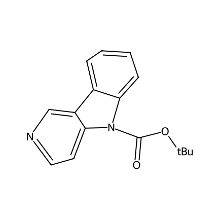 CC(C)(C)OC(=O)n1c2ccccc2c2cnccc21